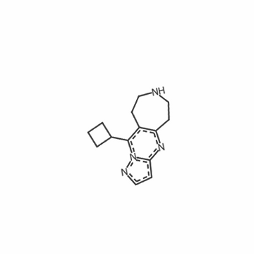 c1cc2nc3c(c(C4CCC4)n2n1)CCNCC3